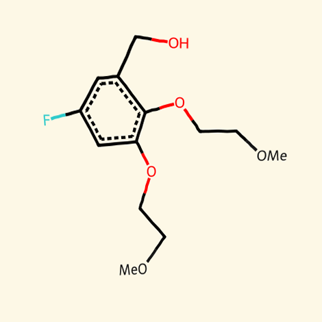 COCCOc1cc(F)cc(CO)c1OCCOC